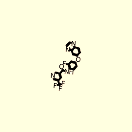 O=C(Nc1ccc(Oc2ccc3nccnc3c2)cc1F)c1cncc(C(F)(F)F)c1